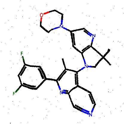 Cc1c(-c2cc(F)cc(F)c2)nc2cnccc2c1N1CC(C)(C)c2ncc(N3CCOCC3)cc21